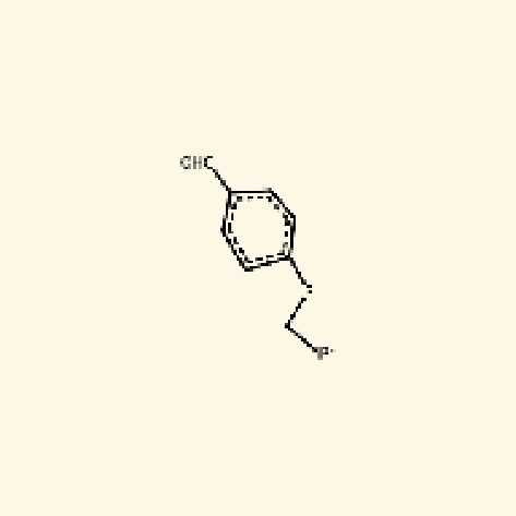 CC(C)CSc1ccc(C=O)cc1